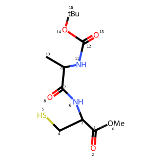 COC(=O)C(CS)NC(=O)C(C)NC(=O)OC(C)(C)C